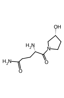 NC(=O)CC[C@H](N)C(=O)N1CC[C@@H](O)C1